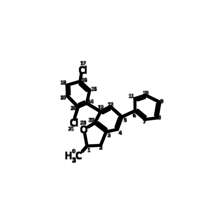 CC1Cc2cc(-c3ccccc3)cc(-c3cc(Cl)ccc3Cl)c2O1